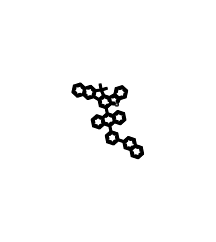 CC1(C)c2cc3ccccc3cc2-c2cc(-c3c4ccccc4c(-c4cccc(-c5ccc6ccccc6c5)c4)c4ccccc34)c3oc4ccccc4c3c21